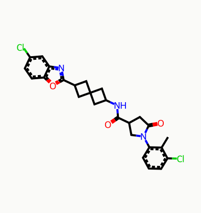 Cc1c(Cl)cccc1N1CC(C(=O)NC2CC3(C2)CC(c2nc4cc(Cl)ccc4o2)C3)CC1=O